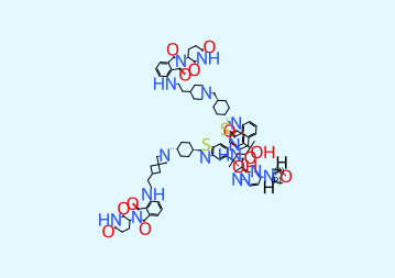 CC(O)(CCC(C)(O)c1cc2nc([C@H]3CC[C@H](CN4CC5(CC(CCNc6cccc7c6C(=O)N(C6CCC(=O)NC6=O)C7=O)C5)C4)CC3)sc2cc1N1CCc2ccccc2C1=O)c1cc2nc([C@H]3CC[C@H](CN4CCC(CCNc5cccc6c5C(=O)N(C5CCC(=O)NC5=O)C6=O)CC4)CC3)sc2cc1NC(=O)c1cnn2ccc(N3C[C@H]4C[C@@H]3CO4)nc12